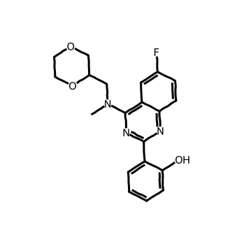 CN(CC1COCCO1)c1nc(-c2ccccc2O)nc2ccc(F)cc12